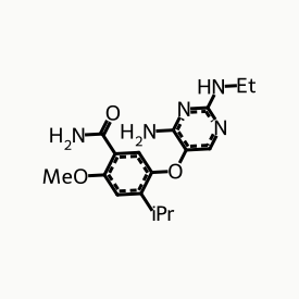 CCNc1ncc(Oc2cc(C(N)=O)c(OC)cc2C(C)C)c(N)n1